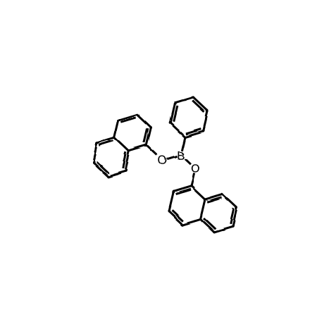 c1ccc(B(Oc2cccc3ccccc23)Oc2cccc3ccccc23)cc1